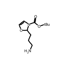 CC(C)(C)OC(=O)N1C=COC1CCCN